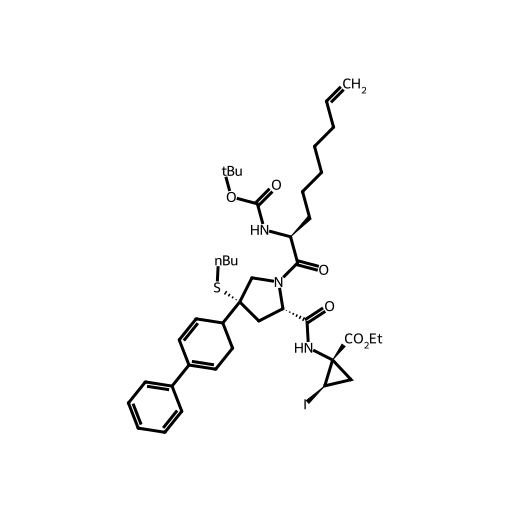 C=CCCCCC[C@H](NC(=O)OC(C)(C)C)C(=O)N1C[C@](SCCCC)(C2C=CC(c3ccccc3)=CC2)C[C@H]1C(=O)N[C@]1(C(=O)OCC)C[C@H]1I